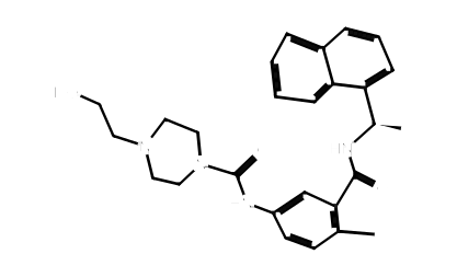 Cc1ccc(NC(=O)N2CCN(CCO)CC2)cc1C(=O)N[C@H](C)c1cccc2ccccc12